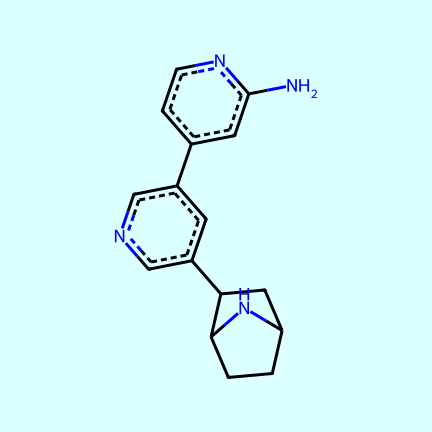 Nc1cc(-c2cncc(C3CC4CCC3N4)c2)ccn1